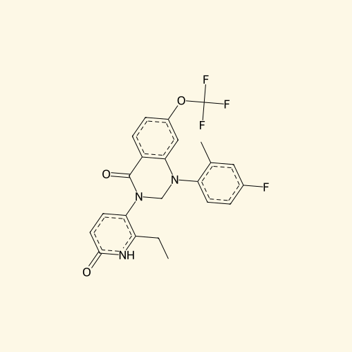 CCc1[nH]c(=O)ccc1N1CN(c2ccc(F)cc2C)c2cc(OC(F)(F)F)ccc2C1=O